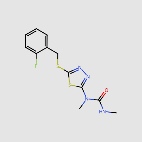 CNC(=O)N(C)c1nnc(SCc2ccccc2F)s1